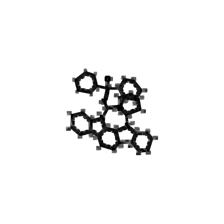 O=S1(c2ccccc2)=NC(n2c3ccccc3c3ccc4c5ccccc5n(-c5ccccc5)c4c32)=Nc2ccccc21